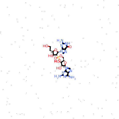 Nc1nc(N)c2ncn([C@@H]3O[C@H](COP(=O)(O)[C@@H]4[C@H](O)[C@@H](CCO)O[C@H]4n4cnc5c(=O)[nH]c(N)nc54)[C@@H](O)[C@H]3O)c2n1